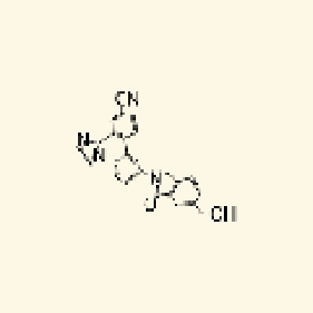 Cn1cnnc1-c1cc(C#N)ccc1-c1cccc(N2Cc3ccc(CO)cc3C2=O)c1